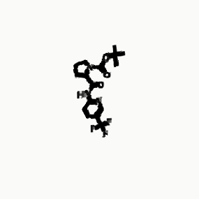 CC(C)(C)OC(=O)N1CCCC1C(=O)Nc1ccc(C(F)(F)F)cn1